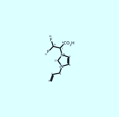 C=CCN1C=CN(C(C(=O)O)C(F)F)C1